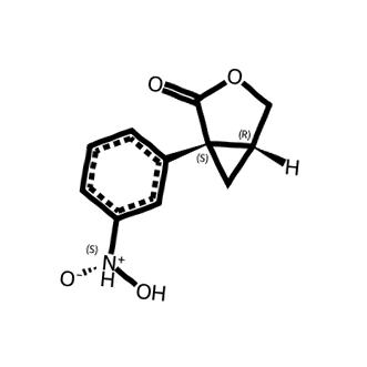 O=C1OC[C@@H]2C[C@]12c1cccc([N@@H+]([O-])O)c1